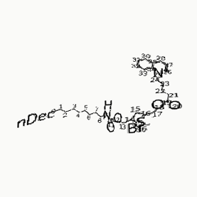 CCCCCCCCCCCCCCCCCCNC(=O)OCC1CC(COC(=O)CCCC[n+]2cccc3ccccc32)S1.[Br-]